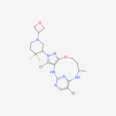 CC1CCOc2nn(C3CN(C4COC4)CCC3(F)F)c(Cl)c2Nc2ncc(Cl)c(n2)N1